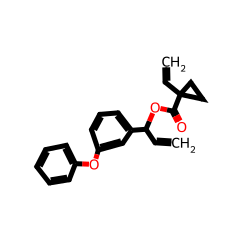 C=CC(OC(=O)C1(C=C)CC1)c1cccc(Oc2ccccc2)c1